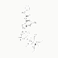 CCOP(=O)(OCC)C(CC=O)(COC)OC[C@H]1O[C@@H](n2ncc3c(OC(=O)NC4CCCC4)nc(Cl)nc32)[C@@H]2OC(C)(C)O[C@@H]21